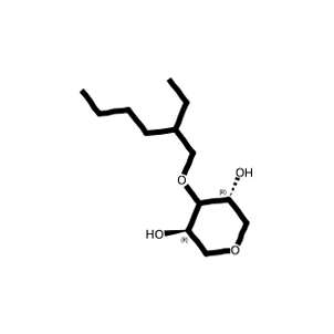 CCCCC(CC)COC1[C@H](O)COC[C@H]1O